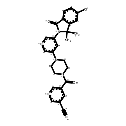 CC1(C)c2cc(Cl)ccc2C(=O)N1c1cncc(N2CCN(C(=O)c3cncc(C#N)c3)CC2)c1